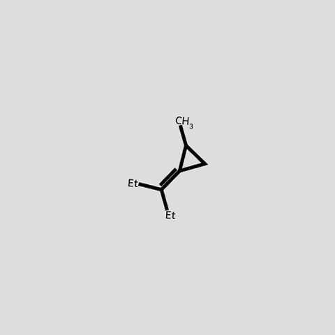 CCC(CC)=C1CC1C